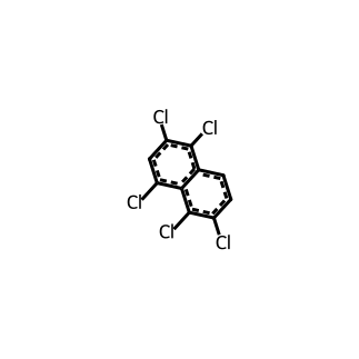 Clc1cc(Cl)c2c(Cl)c(Cl)ccc2c1Cl